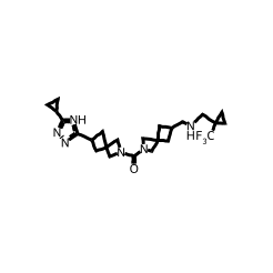 O=C(N1CC2(CC(CNCC3(C(F)(F)F)CC3)C2)C1)N1CC2(CC(c3nnc(C4CC4)[nH]3)C2)C1